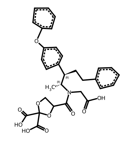 C[C@H]([C@H](CCc1ccccc1)c1ccc(Oc2ccccc2)cc1)N(CC(=O)O)C(=O)C1COC(C(=O)O)(C(=O)O)O1